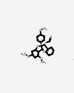 COc1ccc([C@]2([C@H](CC=O)c3ccccc3)Oc3cc(OC)cc(OC)c3C2=O)cc1